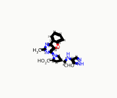 Cc1nc(N2C[C@H](C(C=O)Nc3cn[nH]c3)C[C@H]2C(=O)O)c2oc3ccccc3c2n1